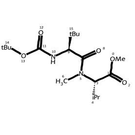 COC(=O)[C@H](C(C)C)N(C)C(=O)[C@@H](NC(=O)OC(C)(C)C)C(C)(C)C